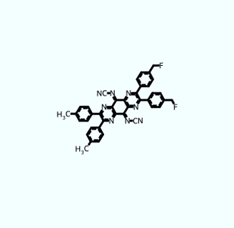 Cc1ccc(-c2nc3c(nc2-c2ccc(C)cc2)/C(=N\C#N)c2nc(-c4ccc(CF)cc4)c(-c4ccc(CF)cc4)nc2/C3=N\C#N)cc1